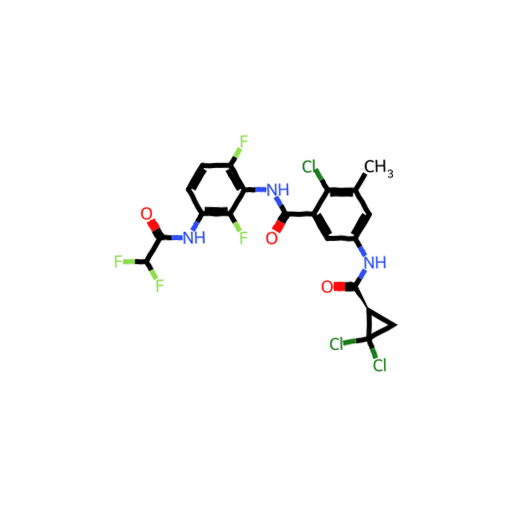 Cc1cc(NC(=O)[C@H]2CC2(Cl)Cl)cc(C(=O)Nc2c(F)ccc(NC(=O)C(F)F)c2F)c1Cl